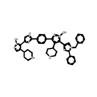 On1ncc(C2CCNCC2)c1-c1c[nH]c(-c2ccc(-c3nn(O)c(-c4cn(Cc5ccccc5)c(-c5ccccc5)n4)c3C3CCNCC3)cc2)n1